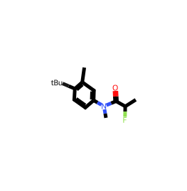 Cc1cc(N(C)C(=O)C(C)F)ccc1C(C)(C)C